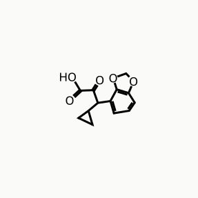 O=C(O)C(=O)C(c1cccc2c1OCO2)C1CC1